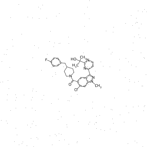 Cn1nc(-c2ccnc(C(C)(C)O)n2)c2cc(C(=O)N3CCC(Cc4ccc(F)cc4)CC3)c(Cl)cc21